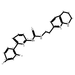 O=C(NCCc1ccc2c(n1)NCCC2)Nc1cccc(-c2ccc(F)cc2F)n1